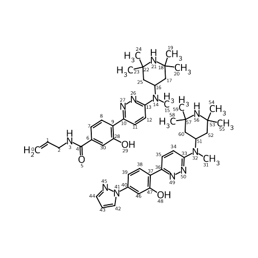 C=CCNC(=O)c1ccc(-c2ccc(N(C)C3CC(C)(C)NC(C)(C)C3)nn2)c(O)c1.CN(c1ccc(-c2ccc(-n3cccn3)cc2O)nn1)C1CC(C)(C)NC(C)(C)C1